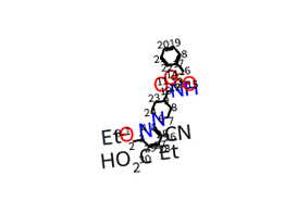 CCOCc1nc(N2CCC(C(=O)NS(=O)(=O)Cc3ccccc3)CC2)c(C#N)c(CC)c1C(=O)O